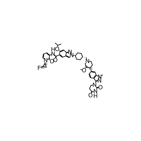 CO[C@H]1CN(C[C@H]2CC[C@H](n3cc4cc(C(=O)Nc5cccn([C@H]6C[C@H]6F)c5=O)c(OC(C)C)cc4n3)CC2)CC[C@H]1c1ccc2c(N3CCC(=O)NC3=O)nn(C)c2c1